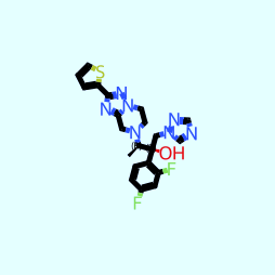 C[C@@H](N1CCn2nc(-c3cccs3)nc2C1)[C@](O)(Cn1cncn1)c1ccc(F)cc1F